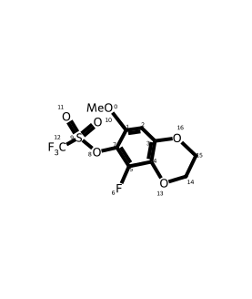 COc1cc2c(c(F)c1OS(=O)(=O)C(F)(F)F)OCCO2